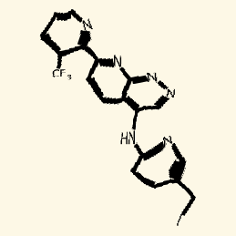 FC(F)(F)c1cccnc1-c1ccc2c(Nc3ccc(CI)cn3)cnnc2n1